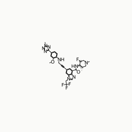 COc1cc(-c2nnn(C)n2)ccc1NCC#Cc1cc(C(=O)N[C@@H]2[C@@H](C)CN(C)C[C@@H]2F)c2ncn(CC(F)(F)F)c2c1